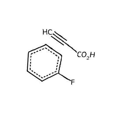 C#CC(=O)O.Fc1ccccc1